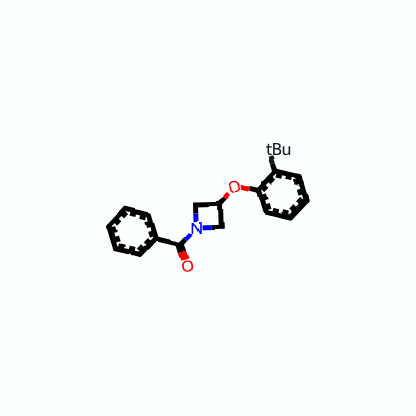 CC(C)(C)c1ccccc1OC1CN(C(=O)c2ccccc2)C1